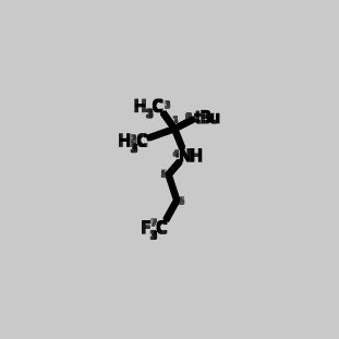 CC(C)(C)C(C)(C)NCCC(F)(F)F